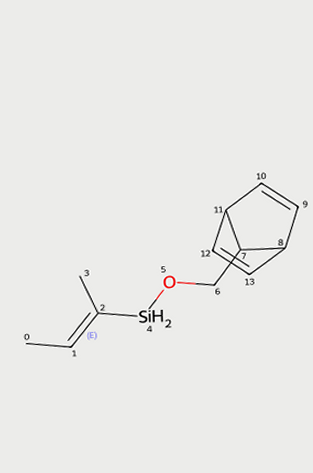 C/C=C(\C)[SiH2]OCC1C2C=CC1C=C2